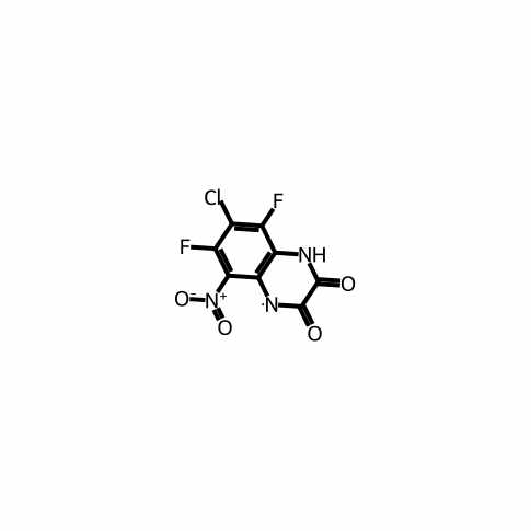 O=C1[N]c2c(c(F)c(Cl)c(F)c2[N+](=O)[O-])NC1=O